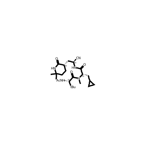 CC(=O)N[C@H](C(=O)N(C)[C@@H](CC1CC1)C(=O)N[C@H](C#N)C[C@@H]1CCC(C)(C)NC1=O)C(C)(C)C